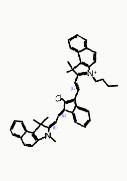 CCCC[N+]1=C(/C=C/C2=C(Cl)C(=C/C=C3/N(C)c4ccc5ccccc5c4C3(C)C)/c3ccccc32)C(C)(C)c2c1ccc1ccccc21